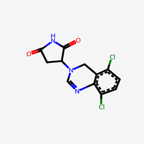 O=C1CC(N2C=Nc3c(Cl)ccc(Cl)c3C2)C(=O)N1